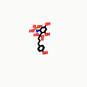 O=P(O)(O)N=C1C=C(O)C=C(O)C1C(O)(O)CCCc1ccc(O)cc1